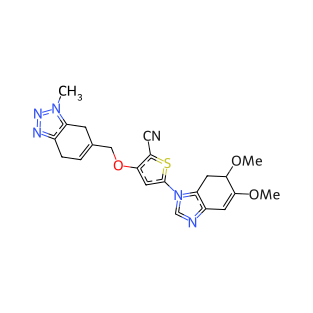 COC1=Cc2ncn(-c3cc(OCC4=CCc5nnn(C)c5C4)c(C#N)s3)c2CC1OC